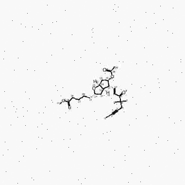 CC#CCC(C)(C)C(=O)C=C[C@@H]1[C@H]2C[C@H](CCCCC(=O)OC)O[C@H]2C[C@H]1OC(C)=O